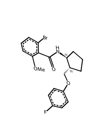 COc1cccc(Br)c1C(=O)N[C@H]1CCC[C@@H]1COc1ccc(F)cc1